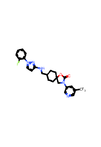 O=C1OC2(CCC(CNc3ccn(-c4ccccc4F)n3)CC2)CN1c1cncc(C(F)(F)F)c1